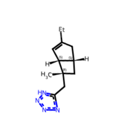 CCC1=C[C@@H]2[C@H](C1)C[C@]2(C)Cc1nnn[nH]1